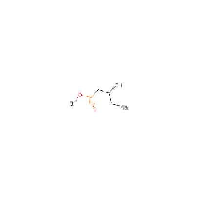 CCO[PH](=O)CC(C)CC(C)(C)C